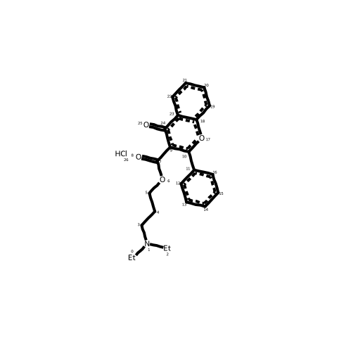 CCN(CC)CCCOC(=O)c1c(-c2ccccc2)oc2ccccc2c1=O.Cl